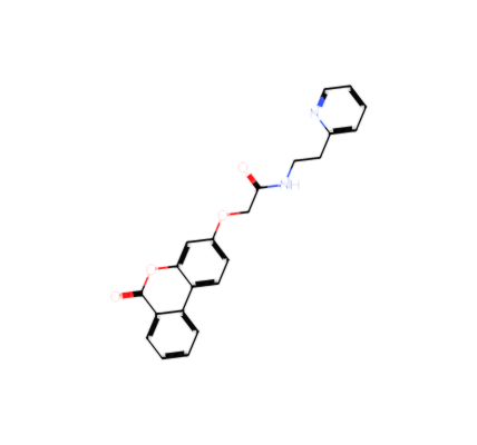 O=C(COc1ccc2c(c1)oc(=O)c1ccccc12)NCCc1ccccn1